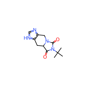 CC(C)(C)N1C(=O)C2Cc3[nH]cnc3CN2C1=O